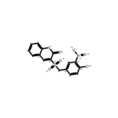 O=c1sc2ccccc2cc1S(=O)(=O)Cc1ccc(Cl)c([N+](=O)[O-])c1